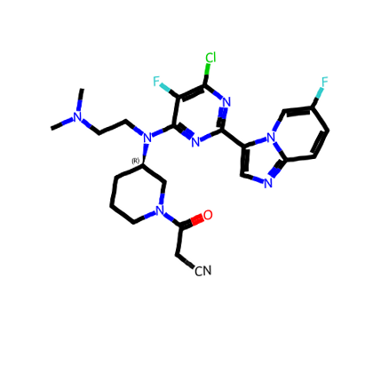 CN(C)CCN(c1nc(-c2cnc3ccc(F)cn23)nc(Cl)c1F)[C@@H]1CCCN(C(=O)CC#N)C1